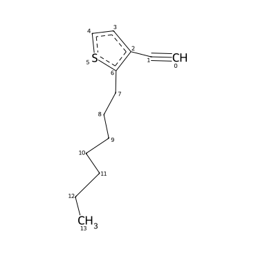 C#Cc1ccsc1CCCCCCC